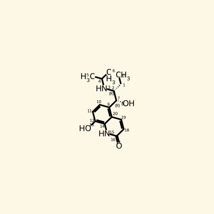 CC[C@@H](NC(C)C)[C@H](O)c1ccc(O)c2[nH]c(=O)ccc12